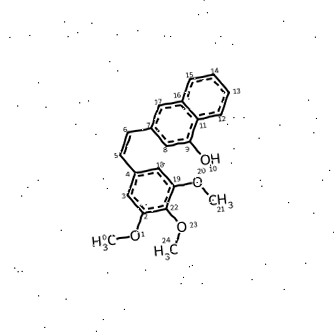 COc1cc(/C=C\c2cc(O)c3ccccc3c2)cc(OC)c1OC